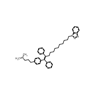 CN(C)CCCc1ccc(/C(=C(/CCCCCCCCCCn2nnc3ccccc32)c2ccccc2)c2ccccc2)cc1